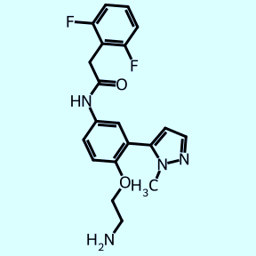 Cn1nccc1-c1cc(NC(=O)Cc2c(F)cccc2F)ccc1OCCN